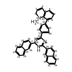 CN1CC=Cc2cccc(-c3ccc(C4=NC(c5ccc6ccccc6c5)NC(c5ccc6ccccc6c5)=N4)cc3)c21